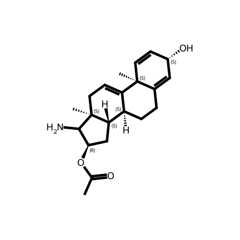 CC(=O)O[C@@H]1C[C@H]2[C@@H]3CCC4=C[C@@H](O)C=C[C@]4(C)C3=CC[C@]2(C)C1N